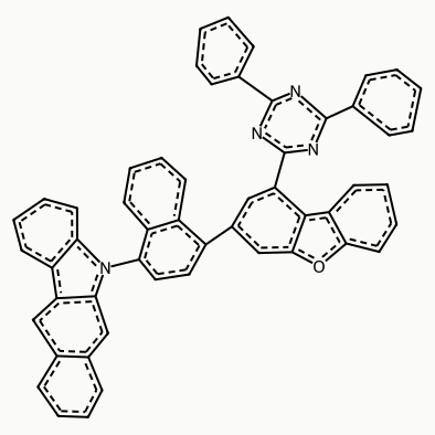 c1ccc(-c2nc(-c3ccccc3)nc(-c3cc(-c4ccc(-n5c6ccccc6c6cc7ccccc7cc65)c5ccccc45)cc4oc5ccccc5c34)n2)cc1